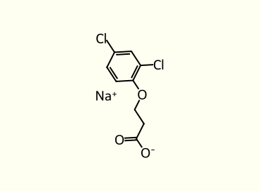 O=C([O-])CCOc1ccc(Cl)cc1Cl.[Na+]